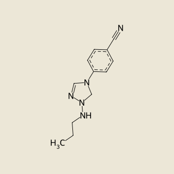 CCCNN1CN(c2ccc(C#N)cc2)C=N1